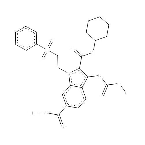 C=C(Nc1c(C(=O)NC2CCCCC2)n(CCS(=O)(=O)c2ccccc2)c2cc(C(=N)N(C)O)ccc12)OCC